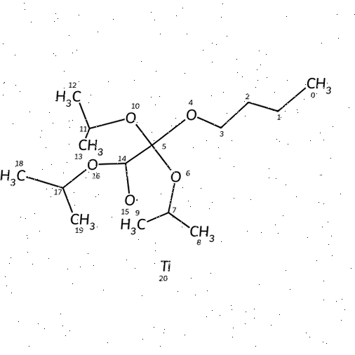 CCCCOC(OC(C)C)(OC(C)C)C([O])OC(C)C.[Ti]